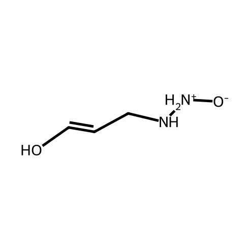 [O-][NH2+]NCC=CO